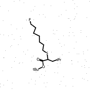 CC(C)CC(SCCCCCCCF)C(=O)OC(C)(C)C